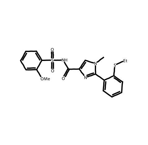 CCSc1ccccc1-c1nc(C(=O)NS(=O)(=O)c2ccccc2OC)cn1C